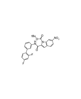 CC(C)(C)OC(=O)n1c(C(=O)Nc2cccc(-c3ccc(F)cc3F)c2)cc2ccc([N+](=O)[O-])cc21